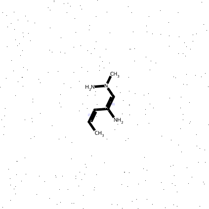 C/C=C\C(N)=C/N(C)N